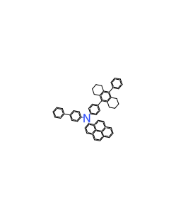 c1ccc(-c2ccc(N(c3ccc(-c4c5c(c(-c6ccccc6)c6c4CCCC6)CCCC5)cc3)c3ccc4ccc5cccc6ccc3c4c56)cc2)cc1